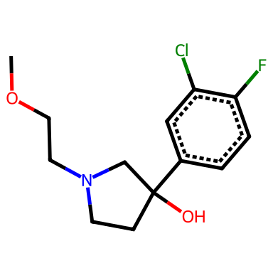 COCCN1CCC(O)(c2ccc(F)c(Cl)c2)C1